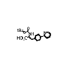 CC(C)(C)OC(=O)NC(Cc1ccc(-c2ccccn2)cc1)C(=O)O